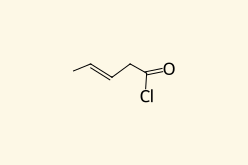 C/C=C/CC(=O)Cl